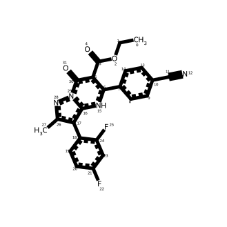 CCOC(=O)c1c(-c2ccc(C#N)cc2)[nH]c2c(-c3ccc(F)cc3F)c(C)nn2c1=O